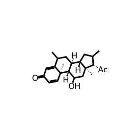 CC(=O)[C@H]1C(C)C[C@H]2[C@@H]3CC(C)C4=CC(=O)C=C[C@]4(C)[C@H]3C(O)C[C@]12C